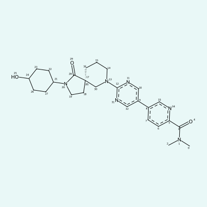 CN(C)C(=O)c1ccc(-c2cnc(N3CCC[C@@]4(CCN(C5CCC(O)CC5)C4=O)C3)nc2)cn1